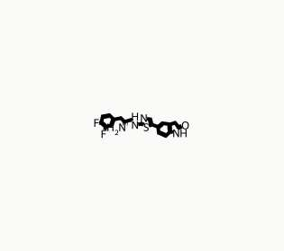 N[C@@H](CNc1ncc(-c2ccc3c(c2)CC(=O)N3)s1)Cc1ccc(F)c(F)c1